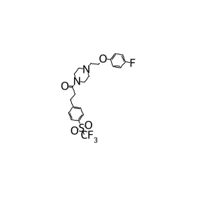 O=C(CCc1ccc(S(=O)(=O)C(F)(F)F)cc1)N1CCN(CCOc2ccc(F)cc2)CC1